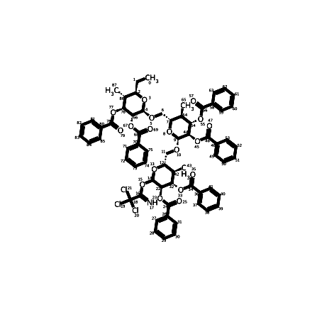 CC[C@H]1O[C@@H](OC[C@H]2O[C@@H](OC[C@H]3OC(OC(=N)C(Cl)(Cl)Cl)[C@H](OC(=O)c4ccccc4)[C@@H](OC(=O)c4ccccc4)[C@@H]3C)[C@H](OC(=O)c3ccccc3)[C@@H](OC(=O)c3ccccc3)[C@@H]2C)[C@H](OC(=O)c2ccccc2)[C@@H](OC(=O)c2ccccc2)[C@@H]1C